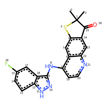 CC1(C)Sc2cc3c(Nc4n[nH]c5ccc(F)cc45)ccnc3cc2C1=O